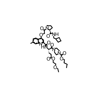 CCCCOC(=O)N1CCN(C(=O)[C@H](CCC(=O)OCCOCC)NC(=O)c2cc(OCC(=O)N3CCC[C@H]3C(=O)NCC3CCC3)c3ccc(C)cc3n2)CC1